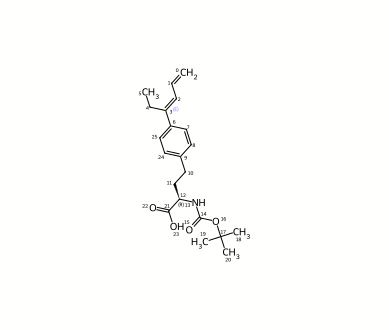 C=C/C=C(\CC)c1ccc(CC[C@@H](NC(=O)OC(C)(C)C)C(=O)O)cc1